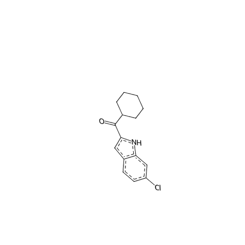 O=C(c1cc2ccc(Cl)cc2[nH]1)C1CCCCC1